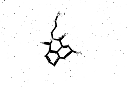 Nc1cc2c3c(cccc3c1)C(=O)N(CCCC(=O)O)C2=O